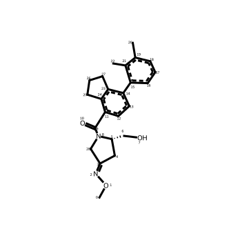 CO/N=C1\C[C@@H](CO)N(C(=O)c2ccc(-c3cccc(C)c3C)c3c2CCC3)C1